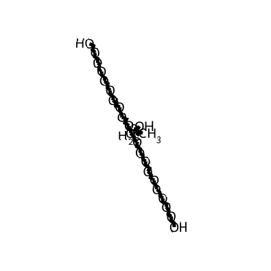 C=C(C)C(=O)O.OCCOCCOCCOCCOCCOCCOCCOCCOCCOCCOCCOCCOCCOCCOCCOCCOCCOCCOCCOCCO